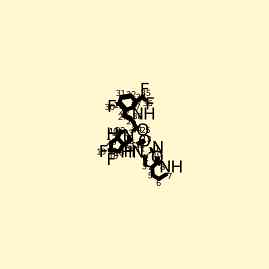 N#C[C@H](C[C@@H]1CCCNC1=O)NC(=O)[C@@H]1[C@H]2CC(F)(F)C[C@H]2CN1C(=O)c1cc2c(F)ccc(C(F)F)c2[nH]1